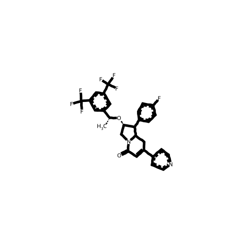 C[C@@H](O[C@H]1CN2C(=O)C=C(c3ccncc3)CC2C1c1ccc(F)cc1)c1cc(C(F)(F)F)cc(C(F)(F)F)c1